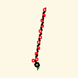 COCCOCCOCCOCCOCCOCCOCCOCCOCCOC(=O)c1ccc(F)cc1